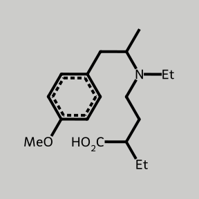 CCC(CCN(CC)C(C)Cc1ccc(OC)cc1)C(=O)O